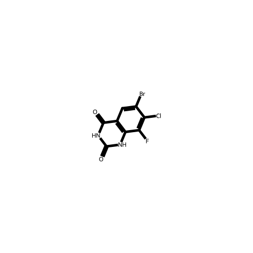 O=c1[nH]c(=O)c2cc(Br)c(Cl)c(F)c2[nH]1